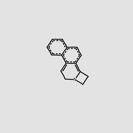 C1=c2c(ccc3ccccc23)=C2CCN2C1